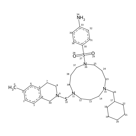 Cc1ccc2c(c1)CCN(SN1CCCN(CC3CCCCC3)CCCN(S(=O)(=O)c3ccc(N)cc3)CCC1)C2